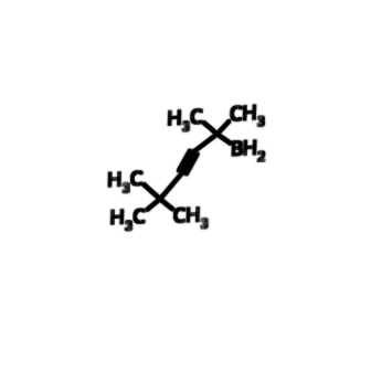 BC(C)(C)C#CC(C)(C)C